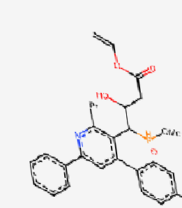 C=COC(=O)CC(O)C(c1c(-c2ccc(F)cc2)cc(-c2ccccc2)nc1C(C)C)[PH](=O)OC